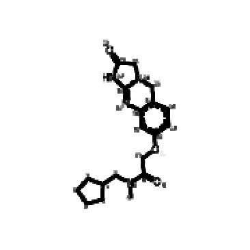 CN(CC1CCCC1)C(=O)COc1ccc2c(c1)N=C1NC(=O)CN1C2